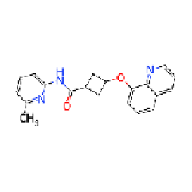 Cc1cccc(NC(=O)C2CC(Oc3cccc4cccnc34)C2)n1